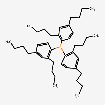 CCCCc1ccc(P(c2ccc(CCCC)cc2CCCC)c2ccc(CCCC)cc2CCCC)c(CCCC)c1